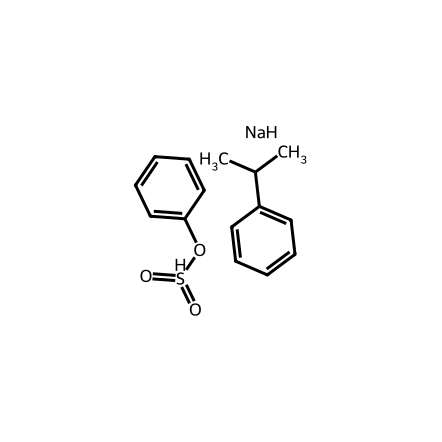 CC(C)c1ccccc1.O=[SH](=O)Oc1ccccc1.[NaH]